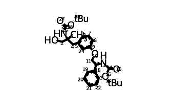 CC(CO)(Cc1cccc(OCC(NC(=O)OC(C)(C)C)c2ccccc2)c1)NC(=O)OC(C)(C)C